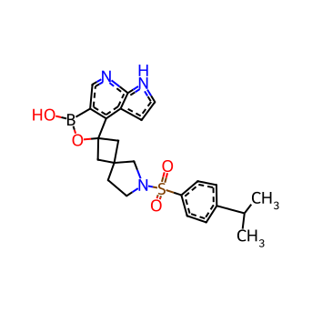 CC(C)c1ccc(S(=O)(=O)N2CCC3(C2)CC2(C3)OB(O)c3cnc4[nH]ccc4c32)cc1